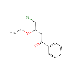 CCOC(CCl)CC(=O)c1ccccc1